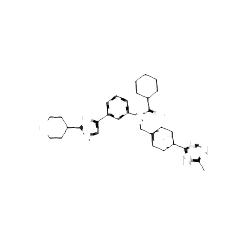 Cc1noc(C23CCC(CN(C(=O)C4CCCCC4)c4cccc(-c5cnc(C6CCOCC6)o5)c4)(CC2)CC3)n1